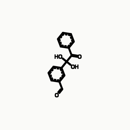 O=Cc1cccc(C(O)(O)C(=O)c2ccccc2)c1